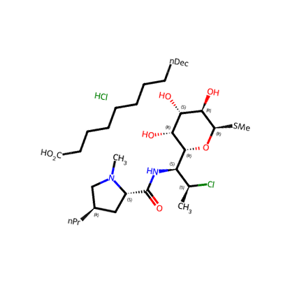 CCCCCCCCCCCCCCCCCC(=O)O.CCC[C@@H]1C[C@@H](C(=O)N[C@@H]([C@H]2O[C@H](SC)[C@H](O)[C@@H](O)[C@H]2O)[C@H](C)Cl)N(C)C1.Cl